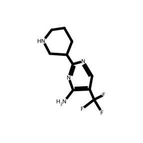 Nc1nc(C2CCCNC2)ncc1C(F)(F)F